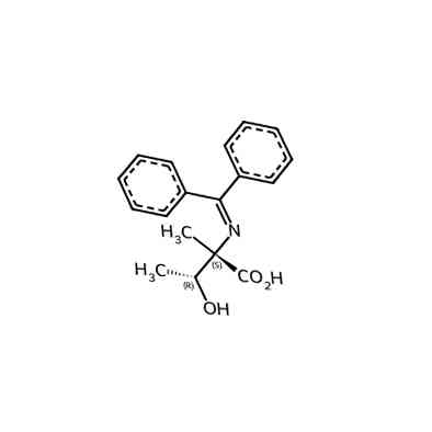 C[C@@H](O)[C@](C)(N=C(c1ccccc1)c1ccccc1)C(=O)O